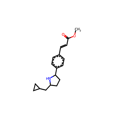 COC(=O)/C=C/c1ccc(C2CCC(CC3CC3)N2)cc1